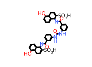 O=C(Nc1cccc(C(=O)N=C2C(S(=O)(=O)O)=CCc3c(O)cccc32)c1)Nc1cccc(C(=O)N=C2C(S(=O)(=O)O)=CCc3c(O)cccc32)c1